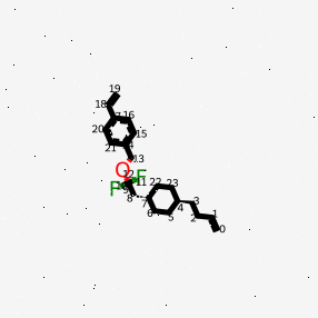 C=CCC[C@H]1CC[C@H](CC(F)(F)OCc2ccc(C=C)cc2)CC1